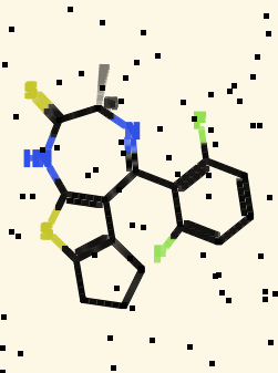 C[C@@H]1N=C(c2c(F)cccc2F)c2c(sc3c2CCC3)NC1=S